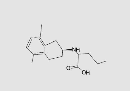 CCCC(N[C@H]1CCc2c(C)ccc(C)c2C1)C(=O)O